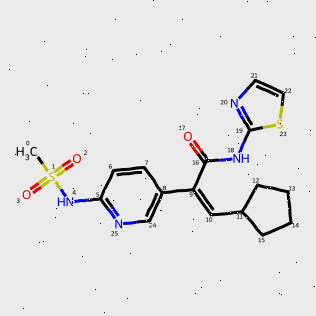 CS(=O)(=O)Nc1ccc(C(=CC2CCCC2)C(=O)Nc2nccs2)cn1